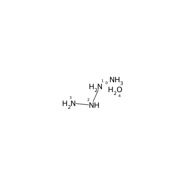 N.NNN.O